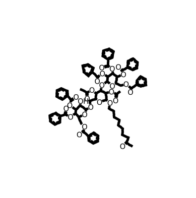 CC(=O)CCCCCCCCOC1OC(COC2OC(COC(=O)c3ccccc3)C(OC(=O)c3ccccc3)C(OC(=O)c3ccccc3)C2O)C(OC(C)=O)C(OC2OC(COC(=O)c3ccccc3)C(OC(=O)c3ccccc3)C(OC(=O)c3ccccc3)C2OC(=O)c2ccccc2)C1OC(C)=O